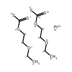 CCOCCOC(=S)[S-].CCOCCOC(=S)[S-].[Pt+2]